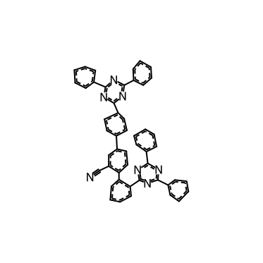 N#Cc1cc(-c2ccc(-c3nc(-c4ccccc4)nc(-c4ccccc4)n3)cc2)ccc1-c1ccccc1-c1nc(-c2ccccc2)nc(-c2ccccc2)n1